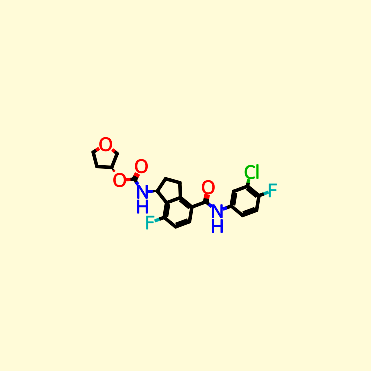 O=C(N[C@H]1CCc2c(C(=O)Nc3ccc(F)c(Cl)c3)ccc(F)c21)O[C@@H]1CCOC1